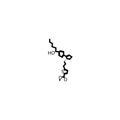 CCCCC[C@@H](O)c1ccc(C2=CCC[C@@H]2CCCc2ccc(C(=O)OC)s2)cc1